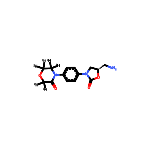 [2H]C1([2H])OC([2H])([2H])C([2H])([2H])N(c2ccc(N3C[C@H](CN)OC3=O)cc2)C1=O